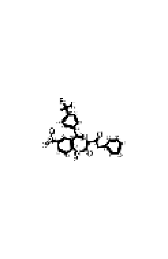 CN1C(=O)C(C(=O)Cc2ccccc2)N=C(c2ccc(C(F)(F)F)cc2)c2cc([N+](=O)[O-])ccc21